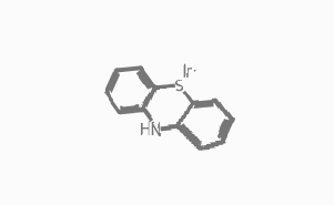 [Ir].c1ccc2c(c1)Nc1ccccc1S2